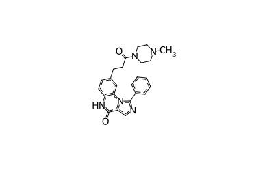 CN1CCN(C(=O)CCc2ccc3[nH]c(=O)c4cnc(-c5ccccc5)n4c3c2)CC1